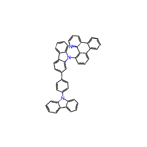 c1ccc2c(c1)c1cccnc1c1c(-n3c4ccccc4c4ccc(-c5ccc(-n6c7ccccc7c7ccccc76)cc5)cc43)cccc21